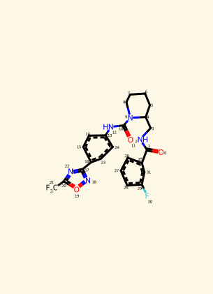 O=C(NCC1CCCCN1C(=O)Nc1ccc(-c2noc(C(F)(F)F)n2)cc1)c1cccc(F)c1